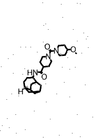 COC1CCN(C(=O)N2CCC(C(=O)NC3CC[C@@H]4CC5CC3CC4C5)CC2)CC1